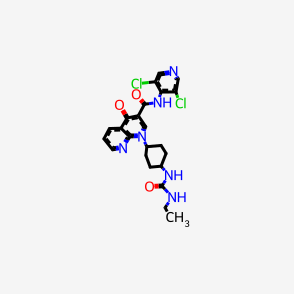 CCNC(=O)NC1CCC(n2cc(C(=O)Nc3c(Cl)cncc3Cl)c(=O)c3cccnc32)CC1